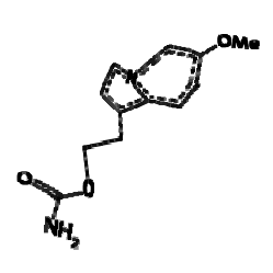 COc1ccc2c(CCOC(N)=O)ccn2c1